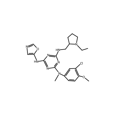 CCN1CCCC1CNc1nc(Nc2cnco2)nc(N(C)c2ccc(OC)c(Cl)c2)n1